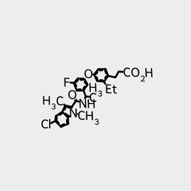 CCc1cc(Oc2cc(F)cc(C(C)NC(=O)c3c(C)c4cc(Cl)ccc4n3C)c2)ccc1CCC(=O)O